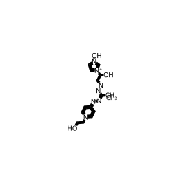 CC(N=NCC(O)[n+]1ccn(O)c1)=NN=c1ccn(CCO)cc1.[Cl-]